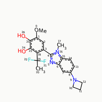 COc1cc(-c2nc3cc(N4CCC4)ccc3n2C)c(C(C)(F)F)c(O)c1O